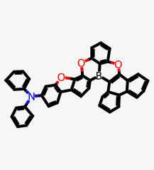 c1ccc(N(c2ccccc2)c2ccc3c(c2)oc2c4c(ccc23)B2c3c(cccc3O4)Oc3c2c2ccccc2c2ccccc32)cc1